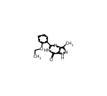 CCOc1ccccc1-c1nc2c(C)n[nH]c2c(=O)[nH]1